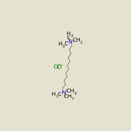 C[N+](C)(C)CCCCCCCCCCCC[N+](C)(C)C.[Cl-].[Cl-]